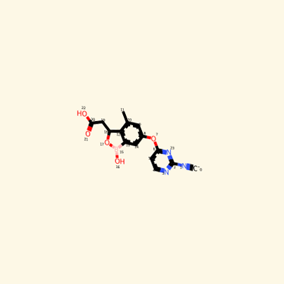 [C-]#[N+]c1nccc(Oc2cc(C)c3c(c2)B(O)OC3CC(=O)O)n1